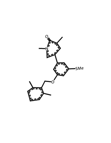 CSc1cc(OCc2c(C)cccc2C)cc(-c2cc(C)c(=O)n(C)c2)c1